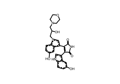 O=C1NC(=O)C(c2cn(CC(O)CN3CCOCC3)c3ccc(O)cc23)=C1c1c[nH]c2ccc(O)cc12